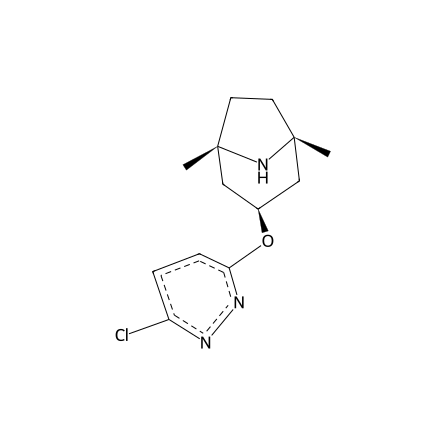 C[C@]12CC[C@](C)(C[C@@H](Oc3ccc(Cl)nn3)C1)N2